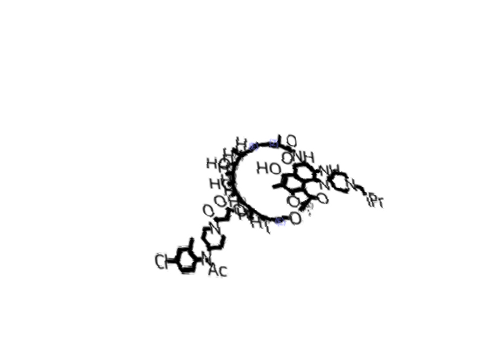 CC(=O)N(c1ccc(Cl)cc1C)C1CCN(C(=O)CC(=O)O[C@H]2[C@H](C)[C@H](O)[C@H](C)[C@@H](O)[C@@H](C)/C=C/C=C(/C)C(=O)NC3=C4NC5(CCN(CC(C)C)CC5)N=C4c4c(c(O)c(C)c5c4C(=O)[C@@](C)(O/C=C/[C@H](I)[C@H]2C)O5)C3=O)CC1